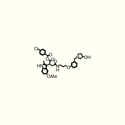 COc1ccc2[nH]c(C)c(C(CC(=O)NCCCOc3cccc(CN4CCC(O)C4)c3)C(=O)OC(=O)c3ccc(Cl)cc3)c2c1